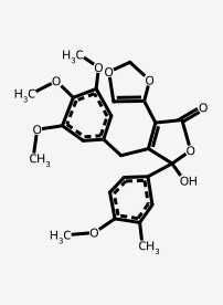 COc1ccc(C2(O)OC(=O)C(C3=COCO3)=C2Cc2cc(OC)c(OC)c(OC)c2)cc1C